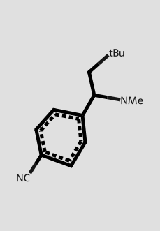 CNC(CC(C)(C)C)c1ccc(C#N)cc1